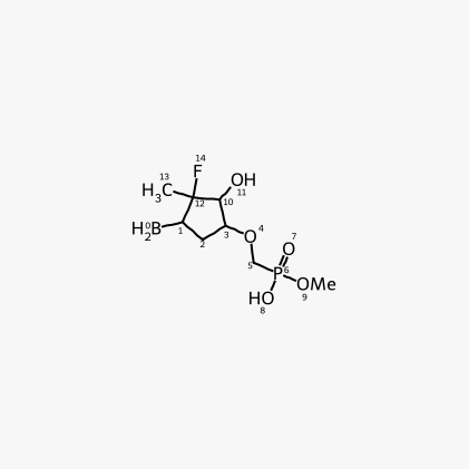 BC1CC(OCP(=O)(O)OC)C(O)C1(C)F